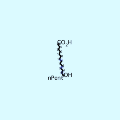 CCCCCC(O)/C=C/C=C/C/C=C/CCCCCCC(=O)O